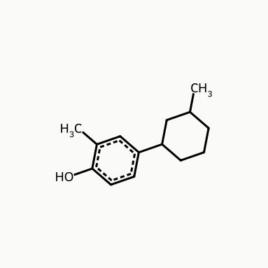 Cc1cc(C2CCCC(C)C2)ccc1O